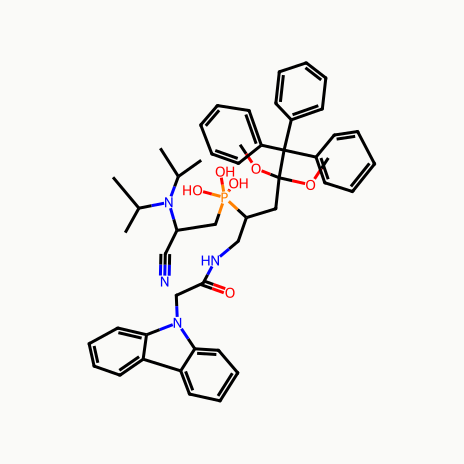 COC(CC(CNC(=O)Cn1c2ccccc2c2ccccc21)P(O)(O)(O)CC(C#N)N(C(C)C)C(C)C)(OC)C(c1ccccc1)(c1ccccc1)c1ccccc1